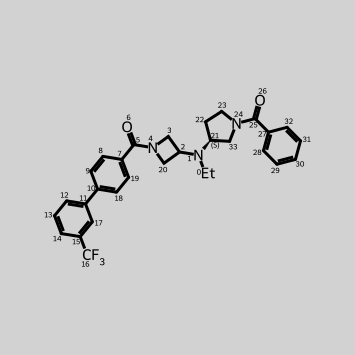 CCN(C1CN(C(=O)c2ccc(-c3cccc(C(F)(F)F)c3)cc2)C1)[C@H]1CCN(C(=O)c2ccccc2)C1